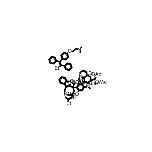 CC/C(=C(\c1ccccc1)c1ccc(OCCN(C)C)cc1)c1ccccc1.CCC1=C[C@@H]2C[N@](C1)Cc1c([nH]c3ccccc13)[C@@](C(=O)OC)(c1cc3c(cc1OC)N(C)[C@H]1[C@@](O)(C(=O)OC)[C@H](OC(C)=O)[C@]4(CC)C=CCN5CC[C@]31[C@@H]54)C2